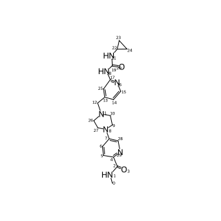 CNC(=O)c1ccc(N2CCN(Cc3ccnc(NC(=O)NC4CC4)c3)CC2)cn1